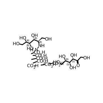 CC(=O)O.CC(=O)O.CC(=O)O.CC(=O)O.CC(=O)O.CC(=O)O.CC(=O)O.NN[C@H](CO)[C@@H](O)[C@@H](O)[C@H](O)CO.O=C(CO)[C@@H](O)[C@@H](O)[C@H](O)CO